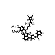 COc1ccc([C@@H](CCCNC(=O)c2cc(C)c(C)o2)N2C(=O)c3cccc(N4CCN([C@H](C)c5ccccc5)CC4)c3C2=O)cc1OC